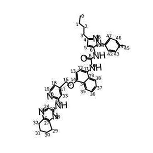 CCCCc1cc(NC(=O)Nc2ccc(OCc3ccnc(Nc4cnc5c(n4)CCCC5)c3)c3ccccc23)n(-c2ccc(C)cc2)n1